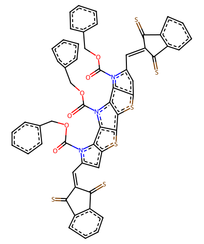 O=C(OCc1ccccc1)n1c(C=C2C(=S)c3ccccc3C2=S)cc2sc3c4sc5cc(C=C6C(=S)c7ccccc7C6=S)n(C(=O)OCc6ccccc6)c5c4n(C(=O)OCc4ccccc4)c3c21